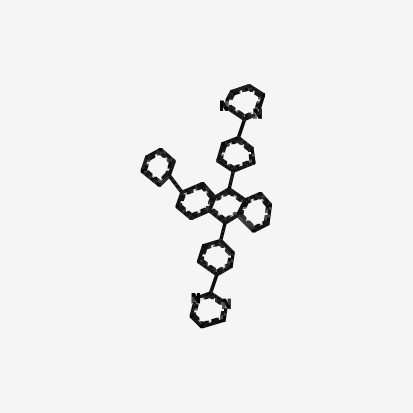 c1ccc(-c2ccc3c(-c4ccc(-c5ncccn5)cc4)c4ccccc4c(-c4ccc(-c5ncccn5)cc4)c3c2)cc1